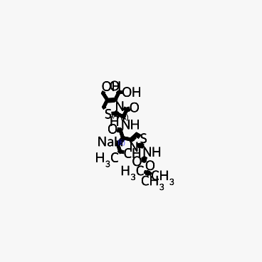 CC(C)/C=C(/C(=O)N[C@@H]1C(=O)N2C(C(=O)O)=C(CO)CS[C@H]12)c1csc(NC(=O)OC(C)(C)C)n1.[NaH]